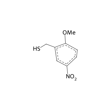 COc1ccc([N+](=O)[O-])cc1CS